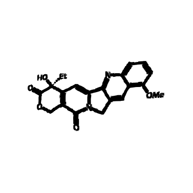 CC[C@@]1(O)C(=O)OCc2c1cc1n(c2=O)Cc2cc3c(OC)cccc3nc2-1